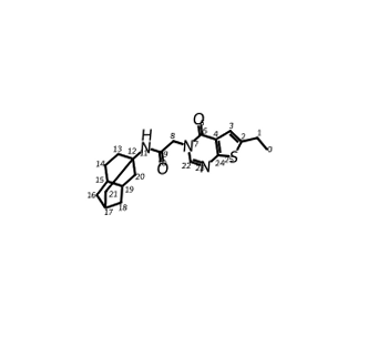 CCc1cc2c(=O)n(CC(=O)NC34CCC5CC(CC5C3)C4)cnc2s1